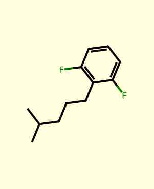 CC(C)CCCc1c(F)cccc1F